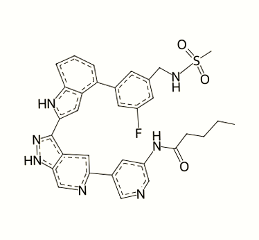 CCCCC(=O)Nc1cncc(-c2cc3c(-c4cc5c(-c6cc(F)cc(CNS(C)(=O)=O)c6)cccc5[nH]4)n[nH]c3cn2)c1